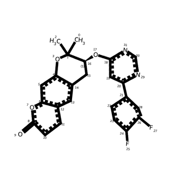 CC1(C)Oc2cc3oc(=O)ccc3cc2C[C@@H]1Oc1cc(-c2ccc(F)c(F)c2)ncn1